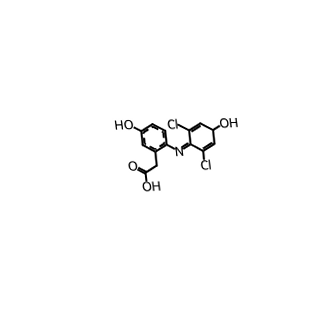 O=C(O)Cc1cc(O)ccc1N=C1C(Cl)=CC(O)C=C1Cl